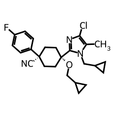 Cc1c(Cl)nc([C@]2(OCC3CC3)CC[C@](C#N)(c3ccc(F)cc3)CC2)n1CC1CC1